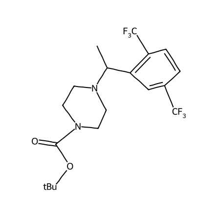 CC(c1cc(C(F)(F)F)ccc1C(F)(F)F)N1CCN(C(=O)OC(C)(C)C)CC1